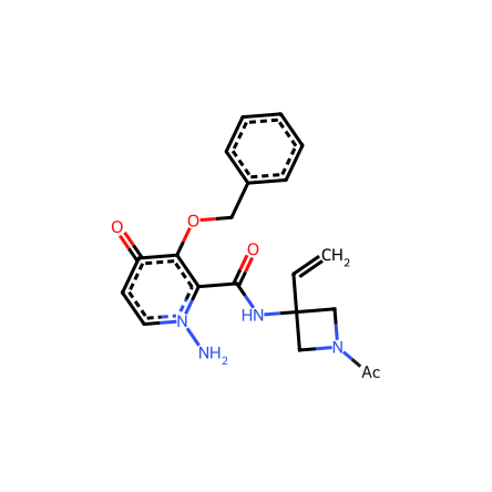 C=CC1(NC(=O)c2c(OCc3ccccc3)c(=O)ccn2N)CN(C(C)=O)C1